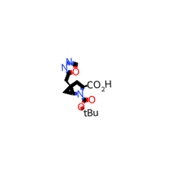 CC(C)(C)OC(=O)N1C2C[C@]2(Cc2nnco2)C[C@H]1C(=O)O